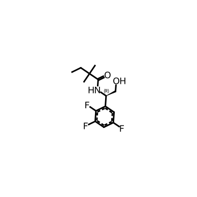 CCC(C)(C)C(=O)N[C@@H](CO)c1cc(F)cc(F)c1F